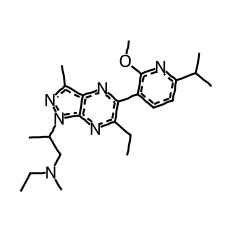 CCc1nc2c(nc1-c1ccc(C(C)C)nc1OC)c(C)nn2C(C)CN(C)CC